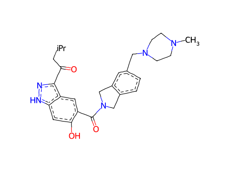 CC(C)CC(=O)c1n[nH]c2cc(O)c(C(=O)N3Cc4ccc(CN5CCN(C)CC5)cc4C3)cc12